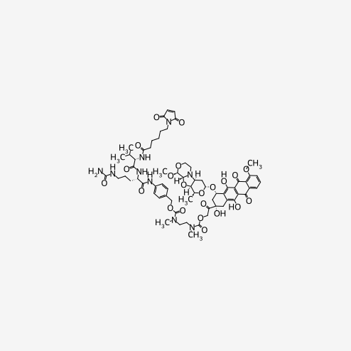 COc1cccc2c1C(=O)c1c(O)c3c(c(O)c1C2=O)C[C@@](O)(C(=O)COC(=O)N(C)CCN(C)C(=O)OCc1ccc(NC(=O)[C@H](CCCNC(N)=O)NC(=O)[C@@H](NC(=O)CCCCCN2C(=O)C=CC2=O)C(C)C)cc1)C[C@@H]3O[C@H]1C[C@H]2[C@H](O[C@@H]3[C@@H](OC)OCCN32)[C@H](C)O1